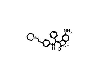 Nc1ccc2c(c1)/C(=C(/Nc1ccc(CCN3CCCCC3)cc1)c1ccccc1)C(=O)N2